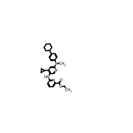 CCOC(=O)c1cccc(Nc2cnc(N(C)c3ccc(C4CCCCC4)cc3)cc2C2CC2)n1